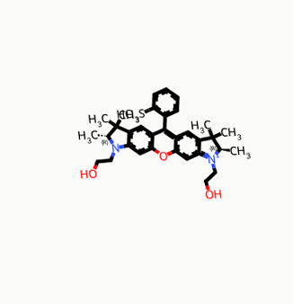 C[C@H]1N(CCO)c2cc3c(cc2C1(C)C)C(c1ccccc1S(=O)(=O)O)=c1cc2c(cc1O3)=[N+](CCO)[C@H](C)C2(C)C